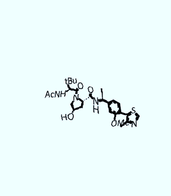 COc1cc([C@H](C)NC(=O)[C@@H]2C[C@@H](O)CN2C(=O)[C@@H](NC(C)=O)C(C)(C)C)ccc1-c1scnc1C